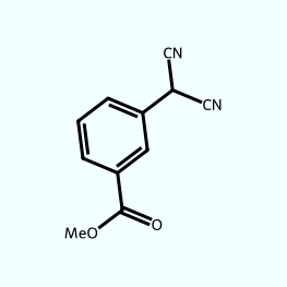 COC(=O)c1cccc(C(C#N)C#N)c1